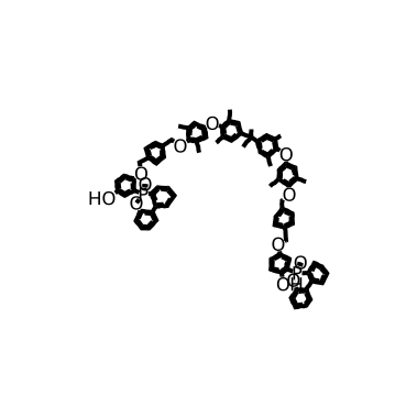 Cc1cc(Oc2c(C)cc(C(C)(C)c3cc(C)c(Oc4cc(C)c(OCc5ccc(COc6ccc(O)cc6P6(=O)Oc7ccccc7-c7ccccc76)cc5)c(C)c4)c(C)c3)cc2C)cc(C)c1OCc1ccc(COc2ccc(O)c(P3(=O)Oc4ccccc4-c4ccccc43)c2)cc1